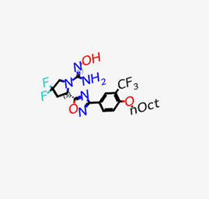 CCCCCCCCOc1ccc(-c2noc([C@@H]3CC(F)(F)CN3/C(N)=N/O)n2)cc1C(F)(F)F